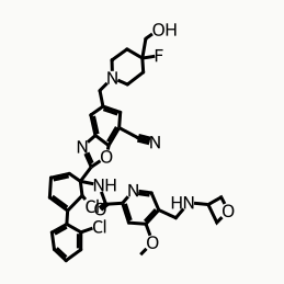 COc1cc(C(=O)NC2(c3nc4cc(CN5CCC(F)(CO)CC5)cc(C#N)c4o3)C=CC=C(c3ccccc3Cl)C2Cl)ncc1CNC1COC1